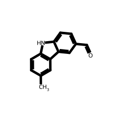 Cc1ccc2[nH]c3ccc(C=O)cc3c2c1